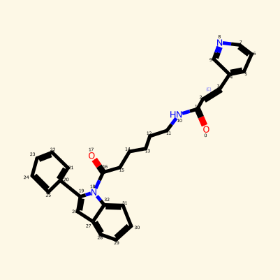 O=C(/C=C/c1cccnc1)NCCCCCC(=O)n1c(-c2ccccc2)cc2ccccc21